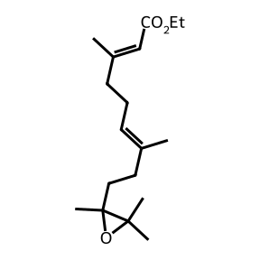 CCOC(=O)C=C(C)CCC=C(C)CCC1(C)OC1(C)C